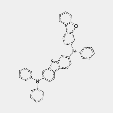 c1ccc(N(c2ccccc2)c2ccc3c(c2)sc2cc(N(c4ccccc4)c4ccc5c(c4)oc4ccccc45)ccc23)cc1